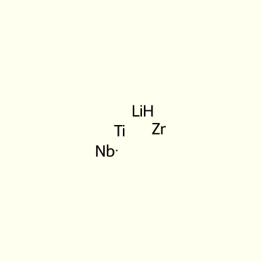 [LiH].[Nb].[Ti].[Zr]